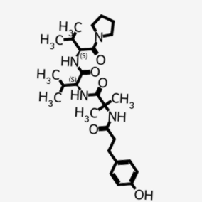 CC(C)[C@H](NC(=O)C(C)(C)NC(=O)CCc1ccc(O)cc1)C(=O)N[C@H](C(=O)N1CCCC1)C(C)C